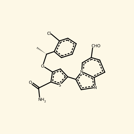 C[C@@H](Oc1cc(-c2cnc3ccc(C=O)cn23)sc1C(N)=O)c1ccccc1Cl